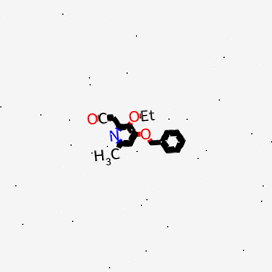 CCOc1c(OCc2ccccc2)cc(C)nc1C=C=O